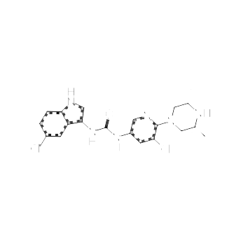 C[C@H]1CN(c2ncc(NC(=O)Nc3c[nH]c4ccc(Cl)cc34)cc2Cl)C[C@H](C)N1